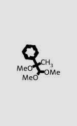 COC(OC)C(C)(OC)c1ccccc1